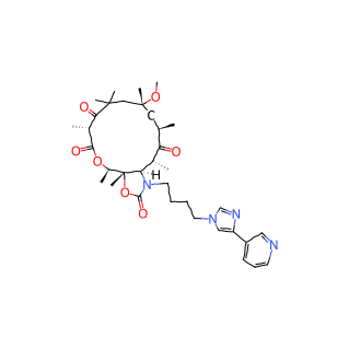 CO[C@]1(C)C[C@@H](C)C(=O)[C@H](C)[C@H]2N(CCCCn3cnc(-c4cccnc4)c3)C(=O)O[C@]2(C)[C@@H](C)OC(=O)[C@H](C)C(=O)C(C)(C)C1